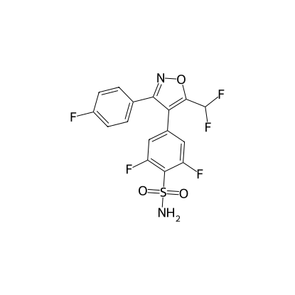 NS(=O)(=O)c1c(F)cc(-c2c(-c3ccc(F)cc3)noc2C(F)F)cc1F